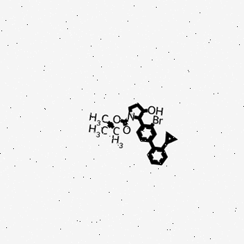 CC(C)(C)OC(=O)N1CCC(O)C1c1ccc(-c2ccccc2C2CC2)cc1Br